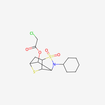 O=C(CCl)OC1C2CC3C(S2)C1N(C1CCCCC1)S3(=O)=O